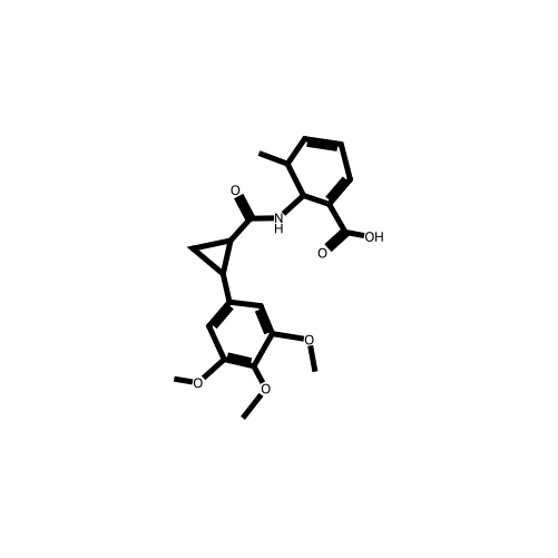 COc1cc(C2CC2C(=O)NC2C(C(=O)O)=CC=CC2C)cc(OC)c1OC